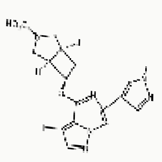 Cn1cc(-c2cn3ncc(I)c3c(O[C@@H]3C[C@@H]4CN(C(=O)O)C[C@@H]43)n2)cn1